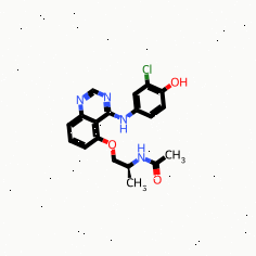 CC(=O)N[C@@H](C)COc1cccc2ncnc(Nc3ccc(O)c(Cl)c3)c12